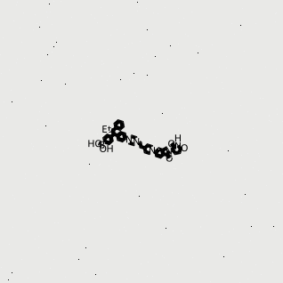 CC/C(=C(\c1ccc(B(O)O)cc1)c1ccc(N2CCN(CCC3CCN(c4ccc5c(c4)CN(C4CCC(=O)NC4=O)C5=O)CC3)CC2)cc1)c1ccccc1